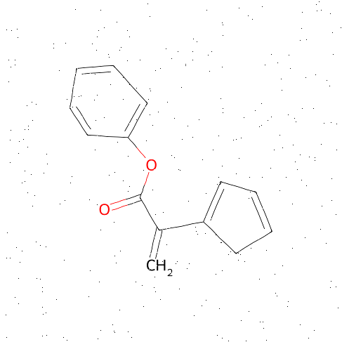 C=C(C(=O)Oc1ccccc1)C1=CC=CC1